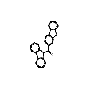 O=C(c1ccc2c(c1)Cc1ccccc1-2)C1c2ccccc2-c2ccccc21